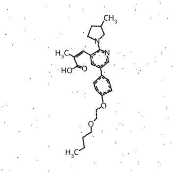 CCCCOCCOc1ccc(-c2cnc(N3CCC(C)C3)c(C=C(C)C(=O)O)c2)cc1